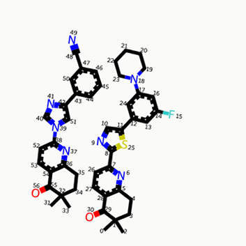 CC1(C)CCc2nc(-c3ncc(-c4cc(F)cc(N5CCCCC5)c4)s3)ccc2C1=O.CC1(C)CCc2nc(-n3cnc(-c4cccc(C#N)c4)c3)ccc2C1=O